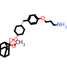 COC1(OO[C@H]2CC[C@@H](Cc3ccc(OCCCN)cc3)CC2)C2CC3CC(C2)CC1C3